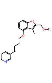 CCOCc1oc2cccc(OCCC[CH]c3cccnc3)c2c1C